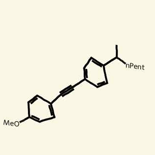 CCCCCC(C)c1ccc(C#Cc2ccc(OC)cc2)cc1